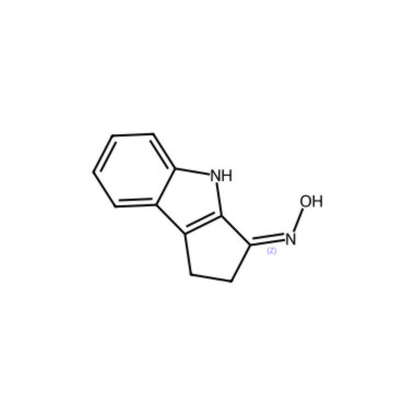 O/N=C1/CCc2c1[nH]c1ccccc21